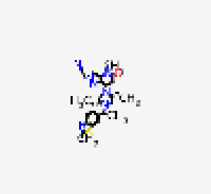 CC[C@H]1CN(C(C)c2ccc3nc(C)sc3c2)[C@H](CC)CN1c1cc(=O)n(C)c2cn(CC#N)nc12